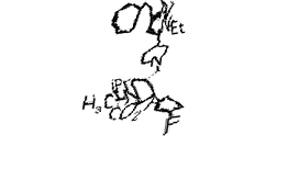 CCn1nc(Cc2ccccc2)cc1C1CCN(C[C@H]2CN([C@](C)(C(=O)O)C(C)C)C[C@@H]2c2cccc(F)c2)CC1